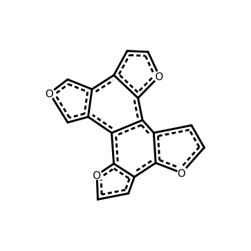 c1cc2c(o1)c1ccoc1c1c3cocc3c3ccoc3c21